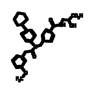 O=C(NCC(O)C(=O)O)c1ccc(CN(C(=O)Cc2cccc(OC(F)(F)F)c2)c2ccc(C3CCCCC3)cc2)cc1